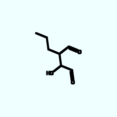 CCCC(C=O)C(O)C=O